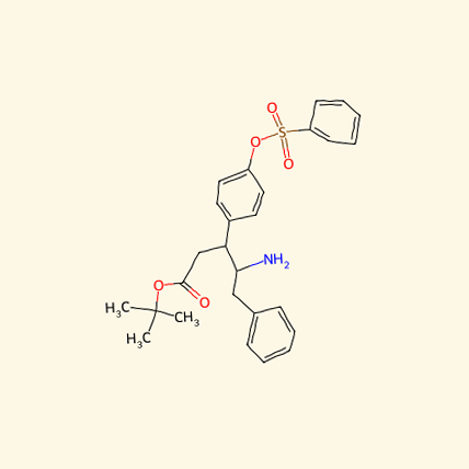 CC(C)(C)OC(=O)CC(c1ccc(OS(=O)(=O)c2ccccc2)cc1)C(N)Cc1ccccc1